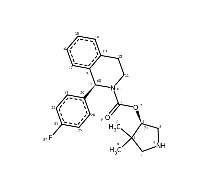 CC1(C)CNC[C@@H]1OC(=O)N1CCc2ccccc2[C@@H]1c1ccc(F)cc1